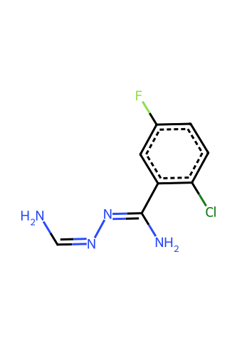 N/C=N\N=C(/N)c1cc(F)ccc1Cl